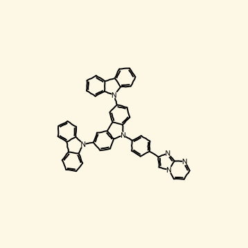 c1ccc2c(c1)c1ccccc1n2-c1ccc2c(c1)c1cc(-n3c4ccccc4c4ccccc43)ccc1n2-c1ccc(-c2cn3cccnc3n2)cc1